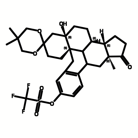 CC1(C)COC2(CC[C@@]34Cc5cc(OS(=O)(=O)C(F)(F)F)ccc5C5C[C@]6(C)C(=O)CC[C@H]6[C@H](CC[C@@]3(O)C2)C54)OC1